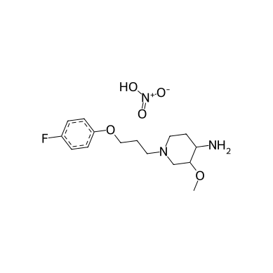 COC1CN(CCCOc2ccc(F)cc2)CCC1N.O=[N+]([O-])O